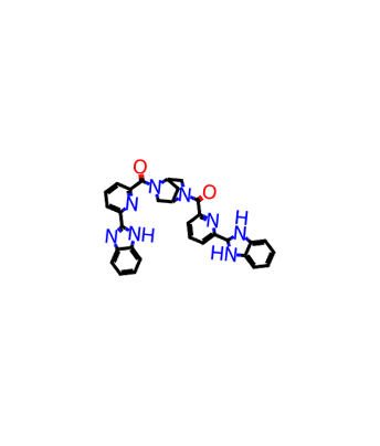 O=C(c1cccc(-c2nc3ccccc3[nH]2)n1)N1CC2CC1CN2C(=O)c1cccc(C2Nc3ccccc3N2)n1